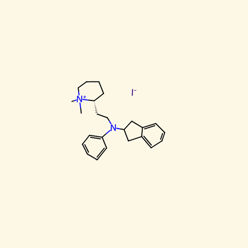 C[N+]1(C)CCCC[C@@H]1CCN(c1ccccc1)C1Cc2ccccc2C1.[I-]